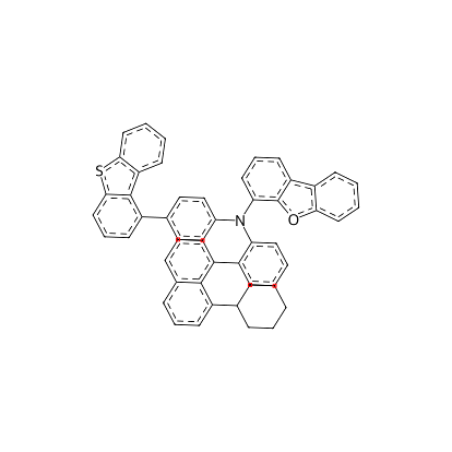 c1ccc(N(c2ccc(-c3cccc4sc5ccccc5c34)cc2)c2cccc3c2oc2ccccc23)c(-c2cccc3cccc(C4CCCCC4)c23)c1